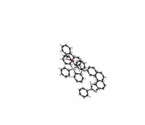 c1ccc(-c2nc3ccc4ccc5ccc(N(c6ccc7c(c6)oc6ccccc67)c6ccccc6[Si](c6ccccc6)(c6ccccc6)c6ccccc6)cc5c4c3o2)cc1